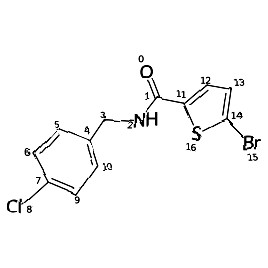 O=C(NCc1ccc(Cl)cc1)c1ccc(Br)s1